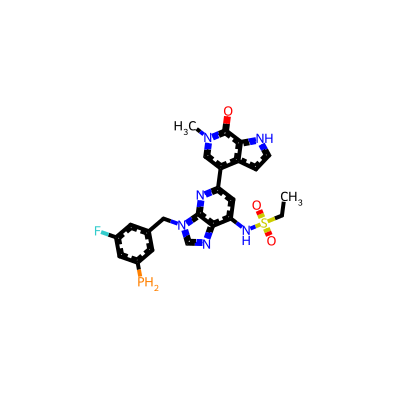 CCS(=O)(=O)Nc1cc(-c2cn(C)c(=O)c3[nH]ccc23)nc2c1ncn2Cc1cc(F)cc(P)c1